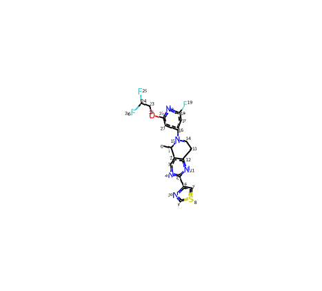 CC1c2cnc(-c3cscn3)nc2CCN1c1cc(F)nc(OCC(F)F)c1